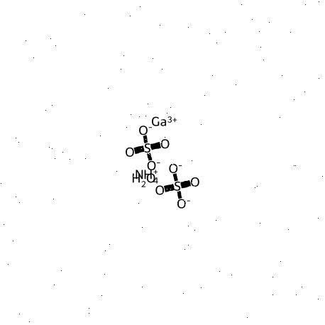 O.O=S(=O)([O-])[O-].O=S(=O)([O-])[O-].[Ga+3].[NH4+]